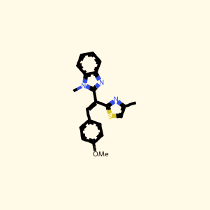 COc1ccc(/C=C(\c2nc(C)cs2)c2nc3ccccc3n2C)cc1